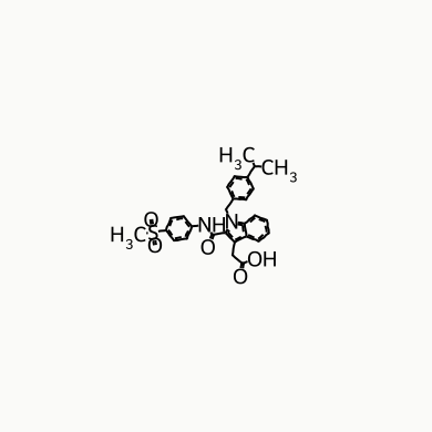 CC(C)c1ccc(Cn2c(C(=O)Nc3ccc(S(C)(=O)=O)cc3)c(CC(=O)O)c3ccccc32)cc1